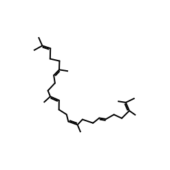 CC(C)=CCCC(C)=CCCC(C)=CCCC=C(C)CCC=CCCC(C)=C(C)C